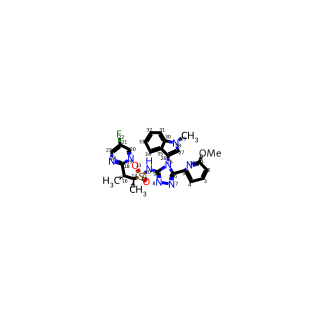 COc1cccc(-c2nnc(NS(=O)(=O)[C@@H](C)[C@H](C)c3ncc(F)cn3)n2-c2cn(C)c3ccccc23)n1